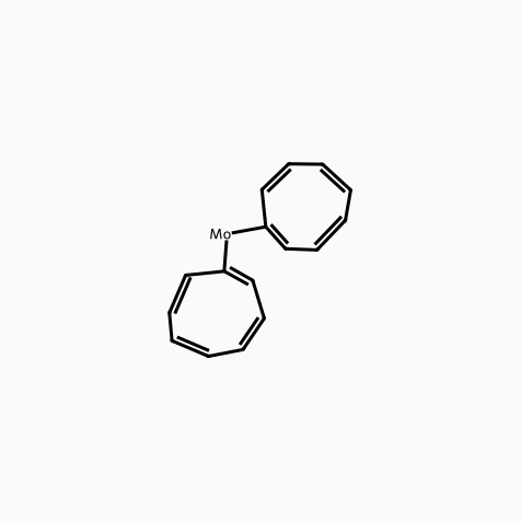 C1=CC=C[C]([Mo][C]2=CC=CC=CC=C2)=CC=C1